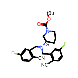 CC(C)(C)OC(=O)N1CCC[C@@H](N(Cc2cc(F)ccc2C#N)Cc2cc(F)ccc2C#N)C1